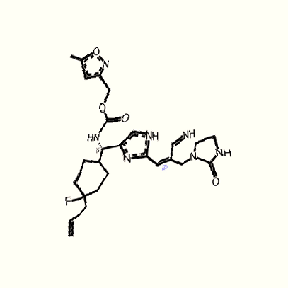 C=CCC1(F)CCC([C@H](NC(=O)OCc2cc(C)on2)c2c[nH]c(/C=C(\C=N)CN3CCNC3=O)n2)CC1